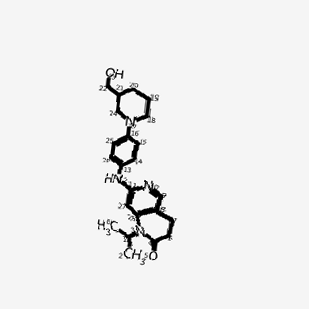 CC(C)N1C(=O)CCc2cnc(Nc3ccc(N4CCCC(CO)C4)cc3)cc21